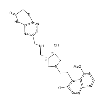 COc1nccc2ncc(Cl)c(CCN3C[C@H](CNCc4cnc5c(n4)NC(=O)CS5)[C@H](O)C3)c12